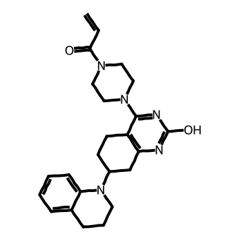 C=CC(=O)N1CCN(c2nc(O)nc3c2CCC(N2CCCc4ccccc42)C3)CC1